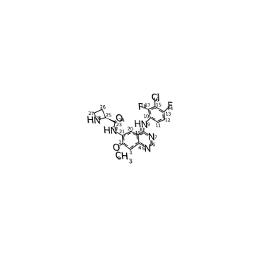 COc1cc2ncnc(Nc3ccc(F)c(Cl)c3F)c2cc1NC(=O)[C@@H]1CCN1